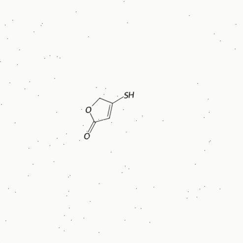 O=C1C=C(S)CO1